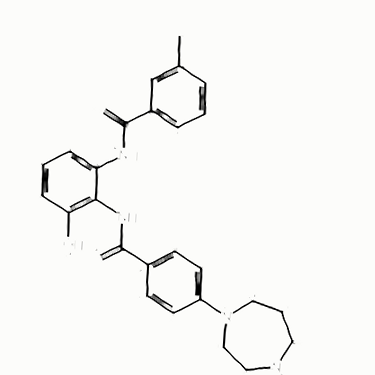 Cc1cccc(C(=O)Nc2cccc(O)c2NC(=O)c2ccc(N3CCCN(C)CC3)cc2)c1